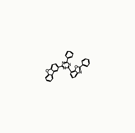 c1ccc(-c2nc(-c3ccc4oc5ccccc5c4c3)nc(-c3cccc4nc(-c5ccccc5)oc34)n2)cc1